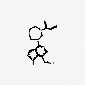 C=CC(=O)N1CCOC[C@H](c2ncc(CN)c3[nH]ccc23)C1